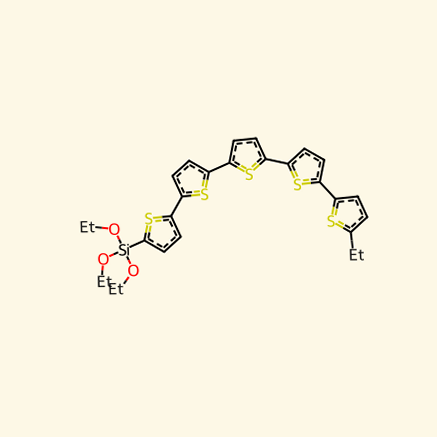 CCO[Si](OCC)(OCC)c1ccc(-c2ccc(-c3ccc(-c4ccc(-c5ccc(CC)s5)s4)s3)s2)s1